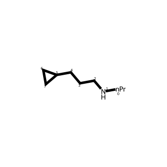 CCCNCCCC1CC1